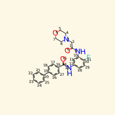 O=C(CN1CCOCC1)Nc1cc(NC(=O)c2ccc(-c3ccccc3)cc2)ccc1F